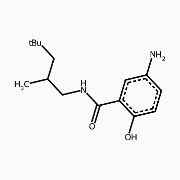 CC(CNC(=O)c1cc(N)ccc1O)CC(C)(C)C